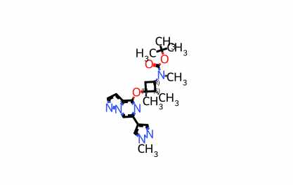 C[C@H]1[C@H](N(C)C(=O)OC(C)(C)C)C[C@@]1(C)Oc1nc(-c2cnn(C)c2)cn2nccc12